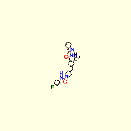 Cc1cc(C=C2CCN(C(=O)Nc3ccc(F)cc3)CC2)ccc1C(=O)Nc1nc2ccccc2s1